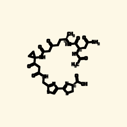 CC(=O)N[C@H](CC(N)=O)C(=O)N[C@@H](C)CCC(=O)CC(=O)NC1(C(=O)CC(=O)NCc2nc(C3=N[C@H](C(=O)O)CS3)cs2)CC1